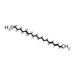 C=CC=CC=CCCCCCCC/[C]=C/CCCCC